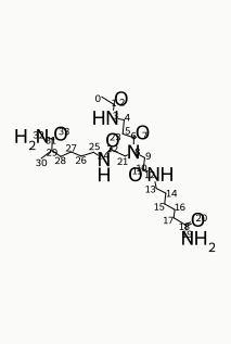 CC(=O)NCCC(=O)N(CC(=O)NCCCCCC(N)=O)CC(=O)NCCCCC(C)C(N)=O